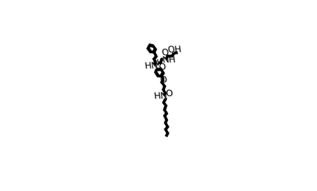 CCCCCCCCCCCCNC(=O)CCCOc1ccc(NN(CCc2ccccc2)C(=O)CNC(=O)CC(C)O)cc1